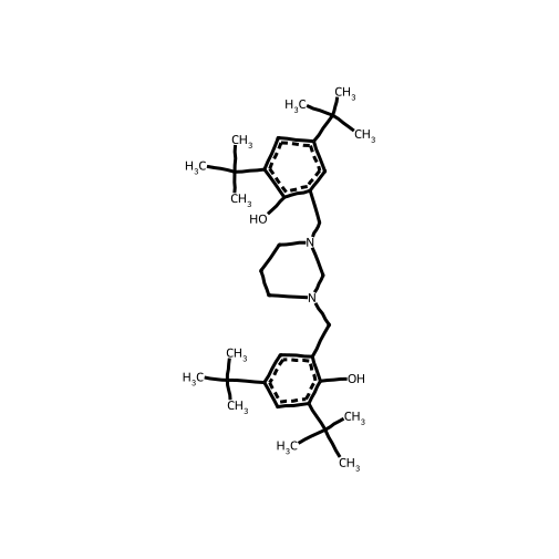 CC(C)(C)c1cc(CN2CCCN(Cc3cc(C(C)(C)C)cc(C(C)(C)C)c3O)C2)c(O)c(C(C)(C)C)c1